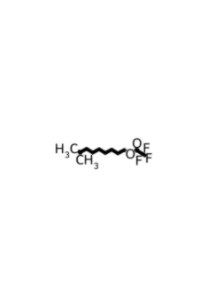 CC(C)CCCCCCCOC(=O)C(F)(F)F